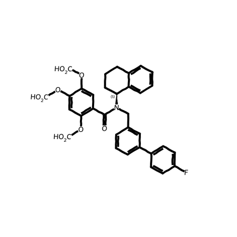 O=C(O)Oc1cc(OC(=O)O)c(C(=O)N(Cc2cccc(-c3ccc(F)cc3)c2)[C@H]2CCCc3ccccc32)cc1OC(=O)O